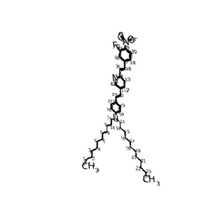 CCCCCCCCCCCCN(CCCCCCCCCCCC)c1ccc(C=Cc2ccc(C=Cc3ccc([N+](=O)[O-])c(F)c3)nc2)cc1